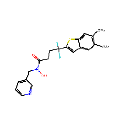 COc1cc2cc(C(F)(F)CCC(=O)N(O)Cc3cccnc3)sc2cc1OC